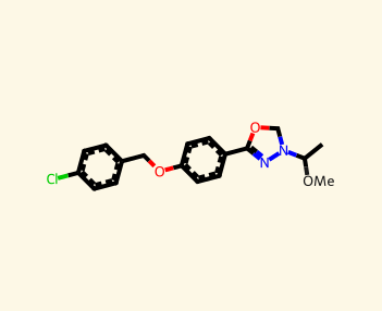 COC(C)N1COC(c2ccc(OCc3ccc(Cl)cc3)cc2)=N1